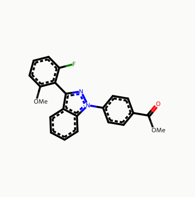 COC(=O)c1ccc(-n2nc(-c3c(F)cccc3OC)c3ccccc32)cc1